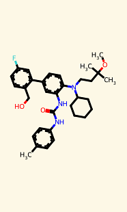 COC(C)(C)CCN(c1ccc(-c2cc(F)ccc2CO)cc1NC(=O)Nc1ccc(C)cc1)C1CCCCC1